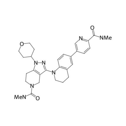 CNC(=O)c1ccc(-c2ccc3c(c2)CCCN3c2nn(C3CCOCC3)c3c2CN(C(=O)NC)CC3)cn1